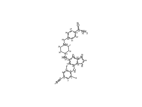 Cc1cc(C#N)cc(C)c1Oc1nc(NC2CCN(Cc3ccc(C(N)=O)cc3)CC2)nc2ncsc12